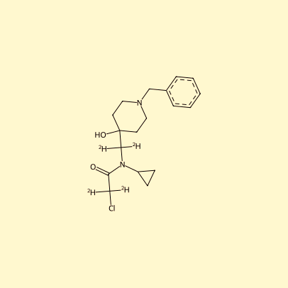 [2H]C([2H])(Cl)C(=O)N(C1CC1)C([2H])([2H])C1(O)CCN(Cc2ccccc2)CC1